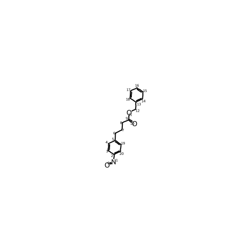 O=Nc1ccc(CCCC(=O)OCc2ccccc2)cc1